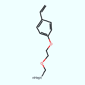 C=Cc1ccc(OCCOCCCCCCCC)cc1